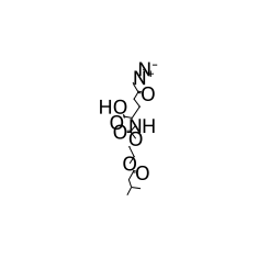 CC(C)CC(=O)OCCOC(=O)NC(CCC(=O)C=[N+]=[N-])C(=O)O